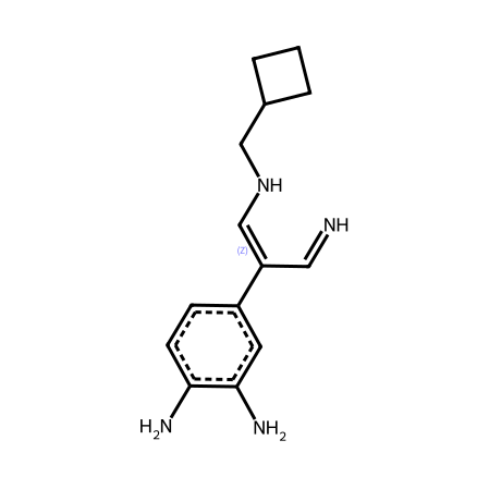 N=C/C(=C\NCC1CCC1)c1ccc(N)c(N)c1